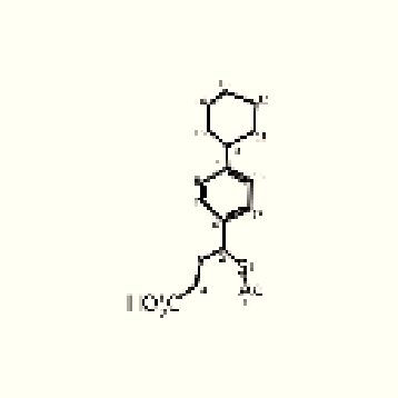 CC(=O)SC(CCC(=O)O)c1ccc(C2CCCCC2)cc1